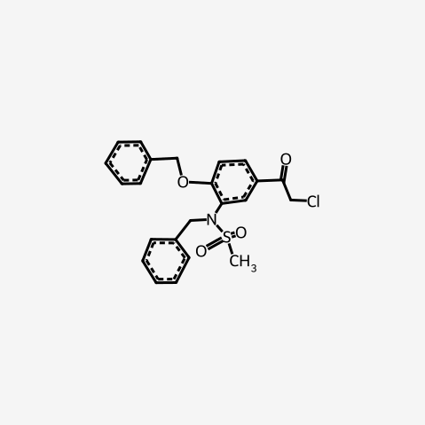 CS(=O)(=O)N(Cc1ccccc1)c1cc(C(=O)CCl)ccc1OCc1ccccc1